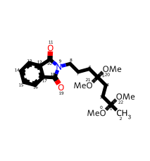 COC(C)(CCC(CCCN1C(=O)c2ccccc2C1=O)(OC)OC)OC